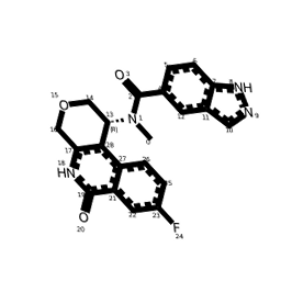 CN(C(=O)c1ccc2[nH]ncc2c1)[C@H]1COCc2[nH]c(=O)c3cc(F)ccc3c21